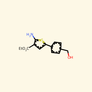 CCOC(=O)c1cc(-c2ccc(CO)cc2)sc1N